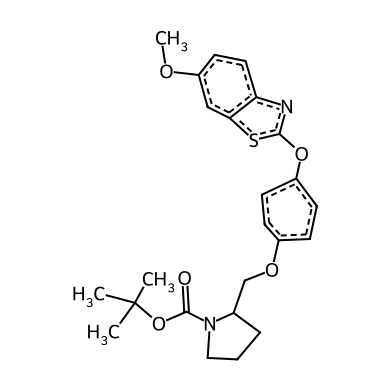 COc1ccc2nc(Oc3ccc(OCC4CCCN4C(=O)OC(C)(C)C)cc3)sc2c1